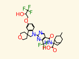 CC1CC2CC(C1)C(NC(=O)c1cnc(N3CC4(CCOCC4)c4cc(OCC(O)C(F)(F)F)ccc43)nc1C(F)(F)F)(C(=O)O)C2